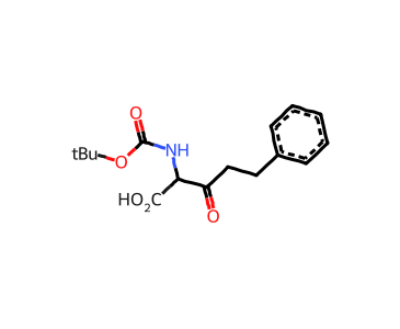 CC(C)(C)OC(=O)NC(C(=O)O)C(=O)CCc1ccccc1